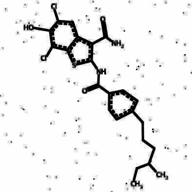 CCC(C)CCCc1ccc(C(=O)Nc2sc3c(Cl)c(O)c(Cl)cc3c2C(N)=O)cc1